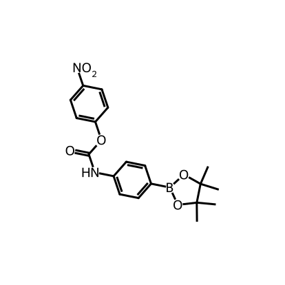 CC1(C)OB(c2ccc(NC(=O)Oc3ccc([N+](=O)[O-])cc3)cc2)OC1(C)C